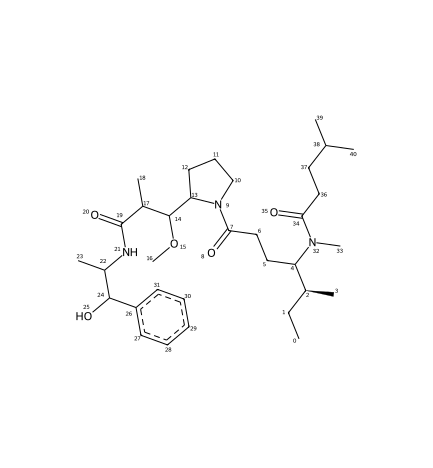 CC[C@H](C)C(CCC(=O)N1CCCC1C(OC)C(C)C(=O)NC(C)C(O)c1ccccc1)N(C)C(=O)CCC(C)C